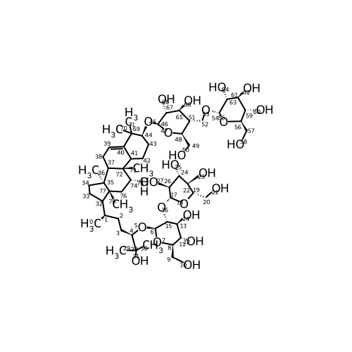 C[C@H](CC[C@@H](O[C@@H]1O[C@H](CO)[C@@H](O)[C@H](O)[C@H]1O[C@H]1O[C@@H](CO)[C@H](O)[C@@H](O)[C@@H]1O)C(C)(C)O)C1CC[C@@]2(C)C3CC=C4C(CC[C@H](O[C@@H]5O[C@H](CO)[C@@H](CO[C@H]6O[C@H](CO)[C@@H](O)[C@H](O)[C@H]6O)[C@H](O)[C@H]5O)C4(C)C)[C@]3(C)[C@H](O)C[C@]12C